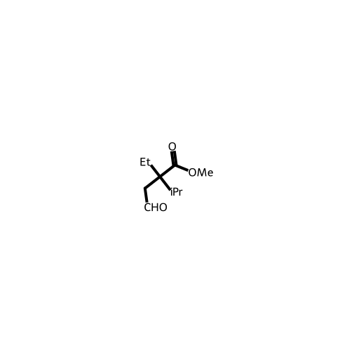 CCC(CC=O)(C(=O)OC)C(C)C